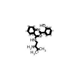 CC(C)[C@H](N)CNc1nc(-c2ccccc2O)nc2ccccc12